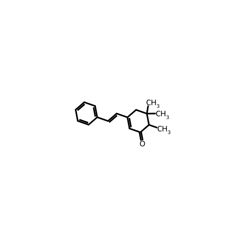 CC1C(=O)C=C(/C=C/c2ccccc2)CC1(C)C